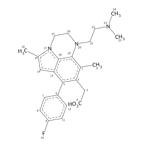 Cc1c(CC(=O)O)c(-c2ccc(F)cc2)c2cc(C)n3c2c1N(CCN(C)C)CC3